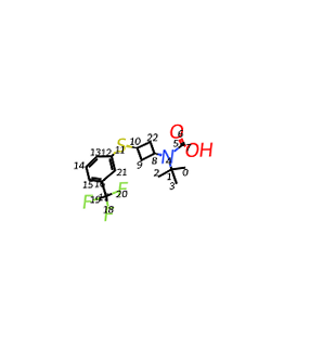 CC(C)(C)N(C(=O)O)[C@H]1C[C@@H](Sc2cccc(C(F)(F)F)c2)C1